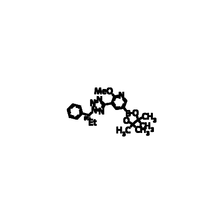 CC[C@H](c1ccccc1)n1nnc(-c2cc(B3OC(C)(C)C(C)(C)O3)cnc2OC)n1